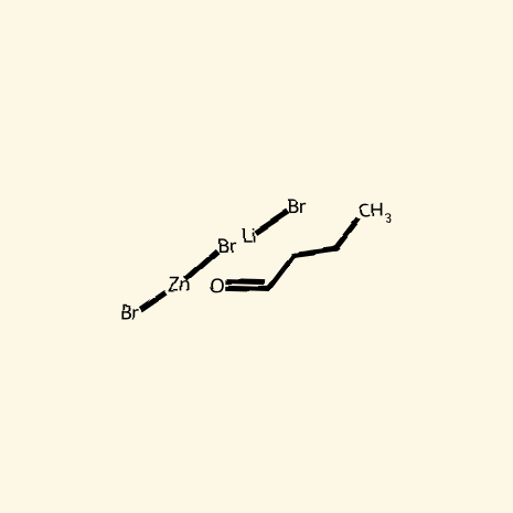 CCCC=O.[Br][Zn][Br].[Li][Br]